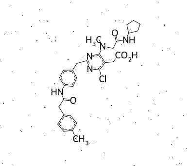 Cc1ccc(CC(=O)Nc2ccc(Cc3nc(Cl)c(CC(=O)O)c(N(C)CC(=O)NC4CCCC4)n3)cc2)cc1